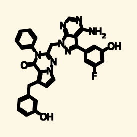 Nc1ncnc2c1c(-c1cc(O)cc(F)c1)nn2Cc1nn2ccc(Cc3cccc(O)c3)c2c(=O)n1-c1ccccc1